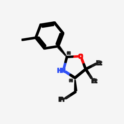 CCC1(CC)O[C@@H](c2cccc(C)c2)N[C@H]1CC(C)C